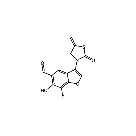 C=C1CN(c2coc3c(F)c(O)c(C=O)cc23)C(=O)S1